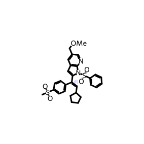 COCc1cnc2c(c1)cc(/C(=C/C1CCCC1)c1ccc(S(C)(=O)=O)cc1)n2S(=O)(=O)c1ccccc1